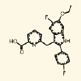 CCOc1cc2[nH]c(-c3ccc(F)cc3)c(Cc3cccc(C(=O)O)n3)c2cc1F